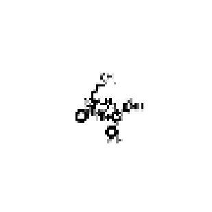 COCCCc1nn(C2C=CC=CC2)c(NC(=O)N[C@@H]2CN(c3cn[nH]c3)C[C@H]2c2ccc(F)c(F)c2)c1C